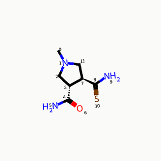 CN1C[C@@H](C(N)=O)[C@H](C(N)=S)C1